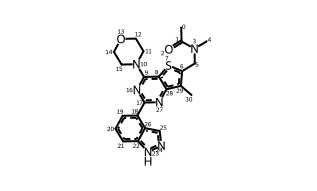 CC(=O)N(C)Cc1sc2c(N3CCOCC3)nc(-c3cccc4[nH]ncc34)nc2c1C